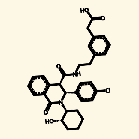 O=C(O)Cc1cccc(CCNC(=O)[C@@H]2c3ccccc3C(=O)N([C@H]3CCCC[C@@H]3O)[C@H]2c2ccc(Cl)cc2)c1